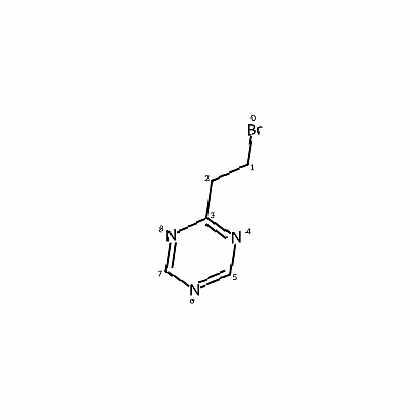 BrCCc1ncncn1